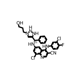 N#Cc1cnc2c(Cl)cc(N[C@H](C3=CN(CCCO)NN3)c3ccccc3)cc2c1Nc1ccc(F)c(Cl)c1